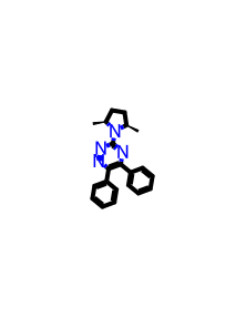 C[C@@H]1CC[C@H](C)N1c1nnc(-c2ccccc2)c(-c2ccccc2)n1